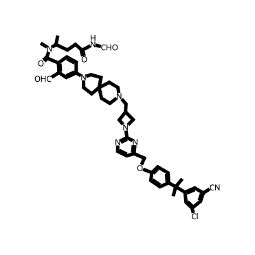 CC(CCC(=O)NC=O)N(C)C(=O)c1ccc(N2CCC3(CCN(CC4CN(c5nccc(COc6ccc(C(C)(C)c7cc(Cl)cc(C#N)c7)cc6)n5)C4)CC3)CC2)cc1C=O